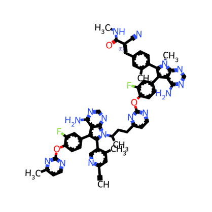 C#Cc1cc(C)c(-c2c(-c3ccc(Oc4nccc(C)n4)c(F)c3)c3c(N)ncnc3n2C(C)CCc2ccnc(Oc3ccc(-c4c(-c5ccc(/C=C(\C#N)C(=O)NC)cc5C)n(C)c5ncnc(N)c45)cc3F)n2)cn1